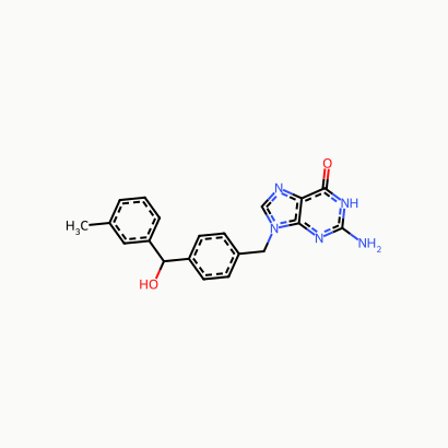 Cc1cccc(C(O)c2ccc(Cn3cnc4c(=O)[nH]c(N)nc43)cc2)c1